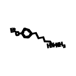 CCOc1ccc(CCCCCNN)cc1